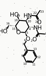 CC(=O)N[C@@H]1[C@@H](OCc2ccccc2)O[C@H](CO)[C@@H](O)[C@H]1NC(C)=O